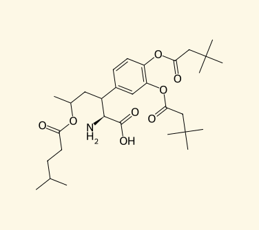 CC(C)CCC(=O)OC(C)CC(c1ccc(OC(=O)CC(C)(C)C)c(OC(=O)CC(C)(C)C)c1)[C@H](N)C(=O)O